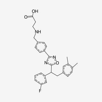 Cc1ccc(CC(c2cccc(F)c2)c2nc(-c3ccc(CNCCC(=O)O)cc3)no2)cc1C